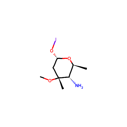 CO[C@]1(C)C[C@H](OI)O[C@@H](C)[C@@H]1N